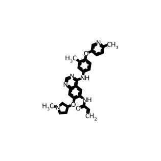 C=CC(=O)Nc1cc2c(Nc3ccc(Oc4ccc(C)nc4)c(C)c3)ncnc2cc1OC1CCN(C)C1